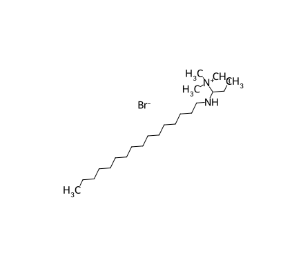 CCCCCCCCCCCCCCCCNC(CC)[N+](C)(C)C.[Br-]